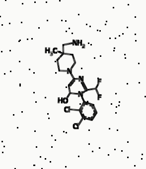 CC1(CN)CCN(C2=CC(O)N(c3cccc(Cl)c3Cl)C(C(F)F)=N2)CC1